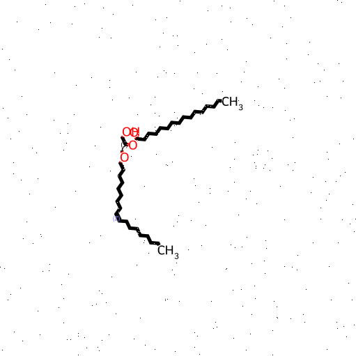 CCCCCCCC/C=C\CCCCCCCCOC[C@H](CO)OC(=O)CCCCCCCCCCCCCCC